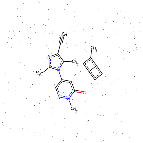 C#Cc1nc(C)n(-c2cnn(C)c(=O)c2)c1C.Cc1cc2ccc1-2